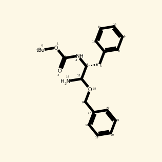 CC(C)(C)OC(=O)N[C@H](Cc1ccccc1)C(N)OCc1ccccc1